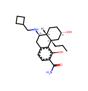 CCC[C@]12C[C@@H](O)CC[C@H]1[C@H](NCC1CCC1)Cc1ccc(C(N)=O)c(O)c12